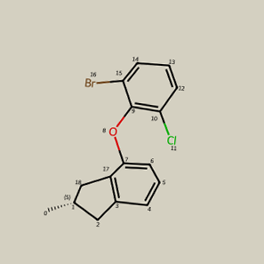 C[C@H]1Cc2cccc(Oc3c(Cl)cccc3Br)c2C1